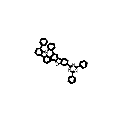 c1ccc(-c2nc(-c3ccccc3)nc(-c3ccc4c(c3)oc3ccc(-c5ccccc5-n5c6ccccc6c6cccc(-c7ccccc7)c65)cc34)n2)cc1